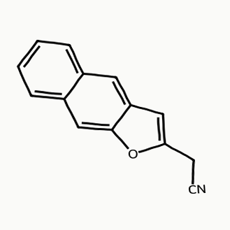 N#CCc1cc2cc3ccccc3cc2o1